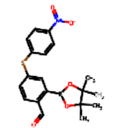 CC1(C)OB(c2cc(Sc3ccc([N+](=O)[O-])cc3)ccc2C=O)OC1(C)C